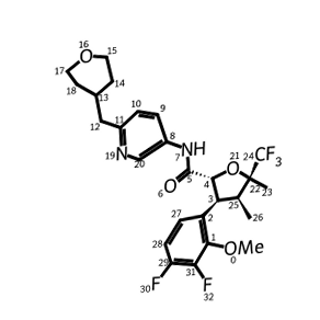 COc1c([C@H]2[C@H](C(=O)Nc3ccc(CC4CCOCC4)nc3)O[C@@](C)(C(F)(F)F)[C@H]2C)ccc(F)c1F